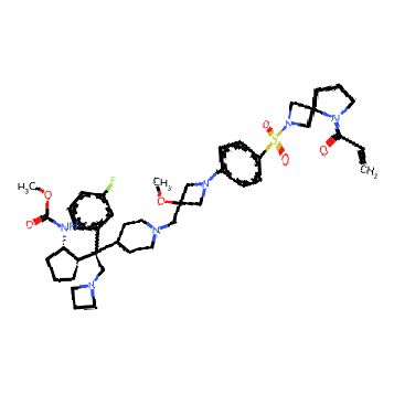 C=CC(=O)N1CCCC12CN(S(=O)(=O)c1ccc(N3CC(CN4CCC([C@@](CN5CCC5)(c5cccc(F)c5)[C@H]5CCC[C@@H]5NC(=O)OC)CC4)(OC)C3)cc1)C2